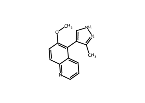 COc1ccc2ncccc2c1-c1c[nH]nc1C